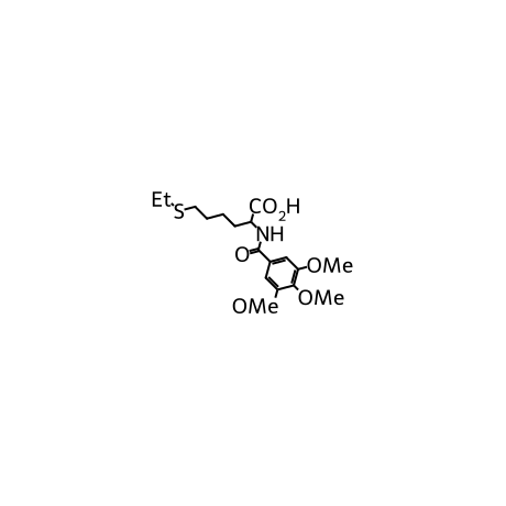 CCSCCCCC(NC(=O)c1cc(OC)c(OC)c(OC)c1)C(=O)O